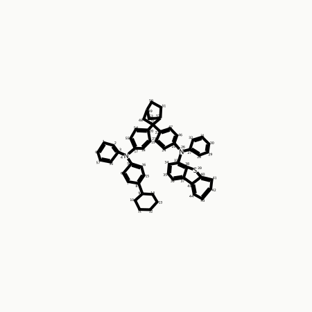 c1ccc(N(c2ccc(C3CCCCC3)cc2)c2ccc(C3(c4ccc(N(c5ccccc5)c5cccc6c5sc5ccccc56)cc4)CC4CCC3C4)cc2)cc1